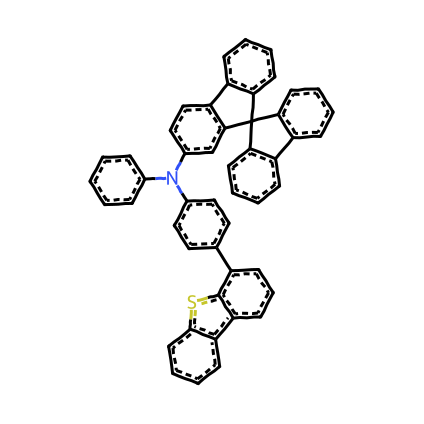 c1ccc(N(c2ccc(-c3cccc4c3sc3ccccc34)cc2)c2ccc3c(c2)C2(c4ccccc4-c4ccccc42)c2ccccc2-3)cc1